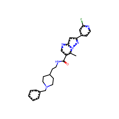 Cc1c(C(=O)NCCC2CCN(Cc3ccccc3)CC2)cnc2cc(-c3ccnc(F)c3)nn12